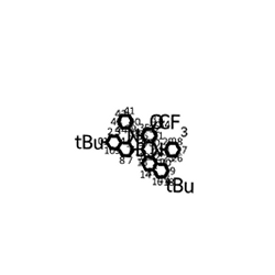 CC(C)(C)c1ccc2c3c(ccc2c1)B1c2ccc4cc(C(C)(C)C)ccc4c2N(c2ccccc2)c2cc(OC(F)(F)F)cc(c21)N3c1ccccc1